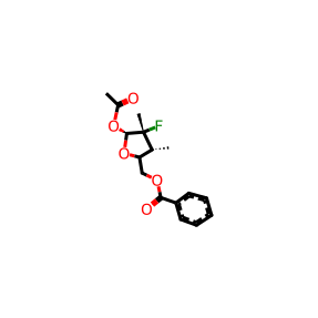 CC(=O)O[C@@H]1OC(COC(=O)c2ccccc2)[C@@H](C)[C@@]1(C)F